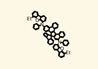 CCc1cccc2c1oc1c(N(c3ccccc3)c3ccc4c5c(c6ccccc6c4c3)-c3c(cc(N(c4ccccc4)c4cccc6c4oc4c(CC)cccc46)c4ccccc34)C53c4ccccc4-c4ccccc43)cccc12